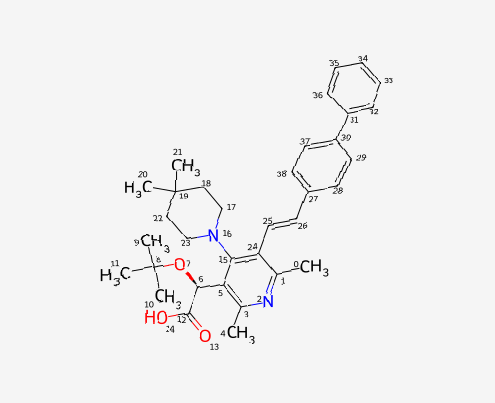 Cc1nc(C)c([C@H](OC(C)(C)C)C(=O)O)c(N2CCC(C)(C)CC2)c1/C=C/c1ccc(-c2ccccc2)cc1